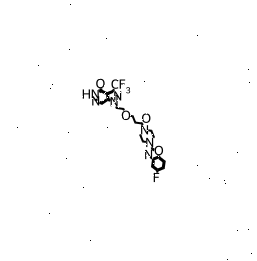 O=C(CCOCCn1nc(C(F)(F)F)c2c(=O)[nH]ncc21)N1CCN(c2nc3cc(F)ccc3o2)CC1